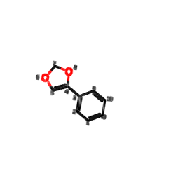 [c]1ccc(C2=COCO2)cc1